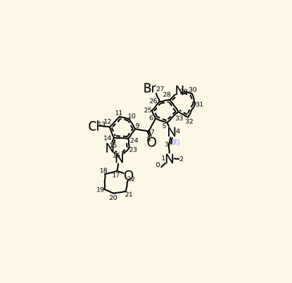 CN(C)/C=N/c1c(C(=O)c2ccc(Cl)c3nn(C4CCCCO4)cc23)cc(Br)c2ncccc12